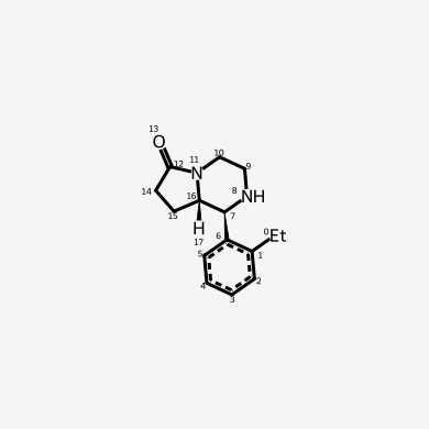 CCc1ccccc1[C@@H]1NCCN2C(=O)CC[C@@H]12